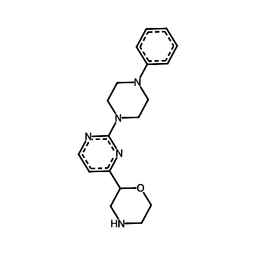 c1ccc(N2CCN(c3nccc(C4CNCCO4)n3)CC2)cc1